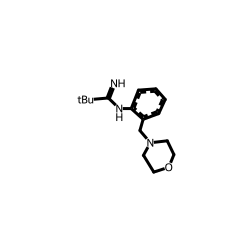 CC(C)(C)C(=N)Nc1ccccc1CN1CCOCC1